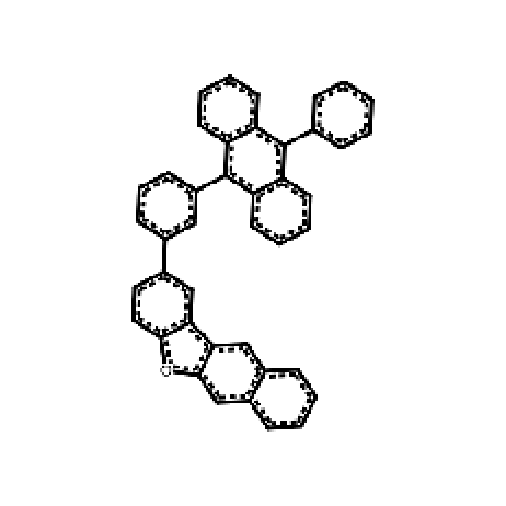 c1ccc(-c2c3ccccc3c(-c3cccc(-c4ccc5oc6cc7ccccc7cc6c5c4)c3)c3ccccc23)cc1